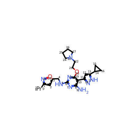 CC(C)c1cc(CNc2nc(N)c(-c3cc(C4CC4)[nH]n3)c(OCCN3CCCC3)n2)on1